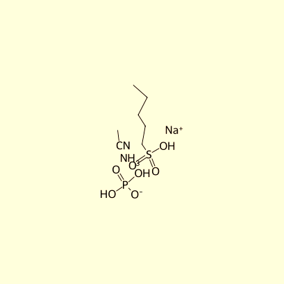 CC#N.CCCCCS(=O)(=O)O.N.O=P([O-])(O)O.[Na+]